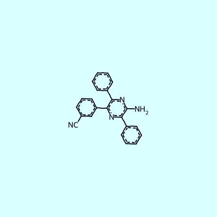 N#Cc1cccc(-c2nc(-c3ccccc3)c(N)nc2-c2ccccc2)c1